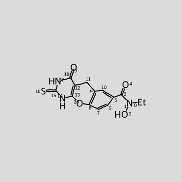 CCN(O)C(=O)c1ccc2c(c1)Cc1c([nH]c(=S)[nH]c1=O)O2